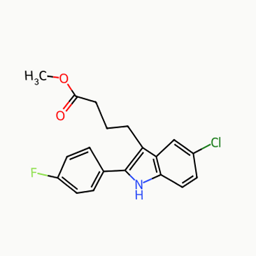 COC(=O)CCCc1c(-c2ccc(F)cc2)[nH]c2ccc(Cl)cc12